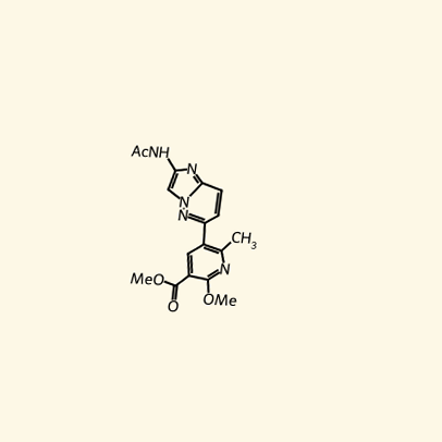 COC(=O)c1cc(-c2ccc3nc(NC(C)=O)cn3n2)c(C)nc1OC